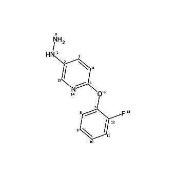 NNc1ccc(Oc2ccccc2F)nc1